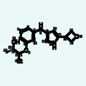 CC[C@H](Oc1cncc(Nc2cc(C3COC3)[nH]n2)n1)[C@H](C)O